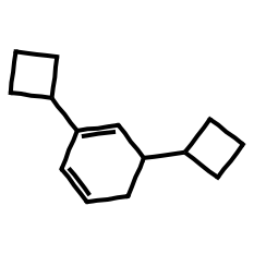 C1=CC(C2CCC2)=C[C](C2CCC2)C1